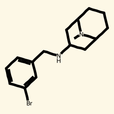 CN1C2CCCC1CC(NCc1cccc(Br)c1)C2